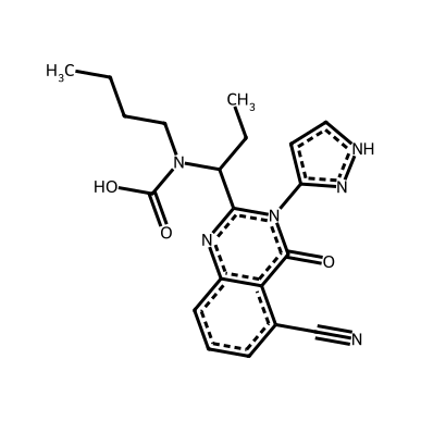 CCCCN(C(=O)O)C(CC)c1nc2cccc(C#N)c2c(=O)n1-c1cc[nH]n1